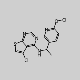 CC(Nc1ncnc2scc(Cl)c12)c1ccc(OCl)nc1